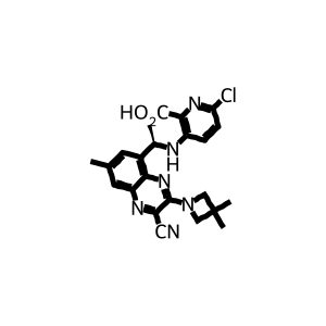 Cc1cc([C@@H](C)Nc2ccc(Cl)nc2C(=O)O)c2nc(N3CC(C)(C)C3)c(C#N)nc2c1